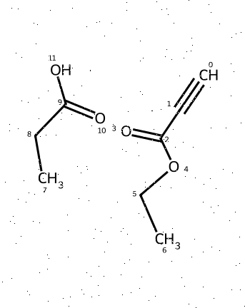 C#CC(=O)OCC.CCC(=O)O